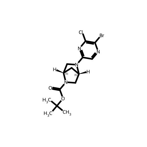 CC(C)(C)OC(=O)N1C[C@@H]2C[C@H]1CN2c1cnc(Br)c(Cl)n1